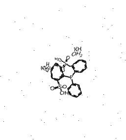 O.O.O=S(=O)(O)c1ccccc1P(c1ccccc1)c1ccccc1S(=O)(=O)O.[KH].[KH]